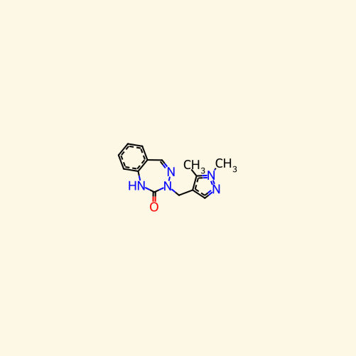 Cc1c(CN2N=Cc3ccccc3NC2=O)cnn1C